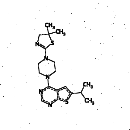 CC(C)c1cc2c(N3CCN(C4=NCC(C)(C)S4)CC3)ncnc2s1